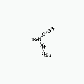 CC(C)OCCOCCN(CCC(C)(C)N(C)CCOC(C)(C)C)C(C)(C)C